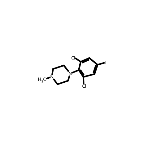 CN1CCN(c2c(Cl)cc(I)cc2Cl)CC1